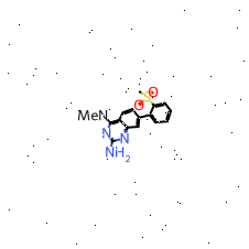 CNc1nc(N)nc2cc(-c3ccccc3S(C)(=O)=O)ccc12